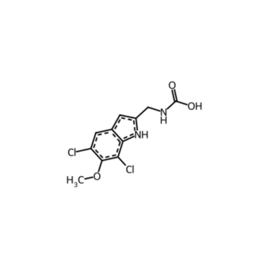 COc1c(Cl)cc2cc(CNC(=O)O)[nH]c2c1Cl